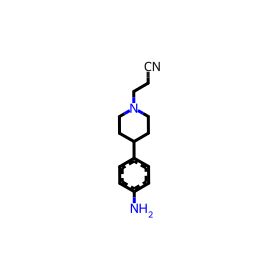 N#CCCN1CCC(c2ccc(N)cc2)CC1